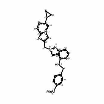 COc1ccc(CNc2nccc3nn(Cc4cn5cc(C6CC6)ccc5n4)cc23)cc1